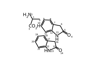 CC(N)C(=O)O.O=C1Cc2ccccc2N1.O=C1Cc2ccccc2N1